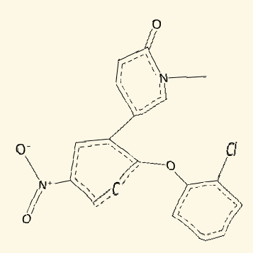 Cn1cc(-c2cc([N+](=O)[O-])ccc2Oc2ccccc2Cl)ccc1=O